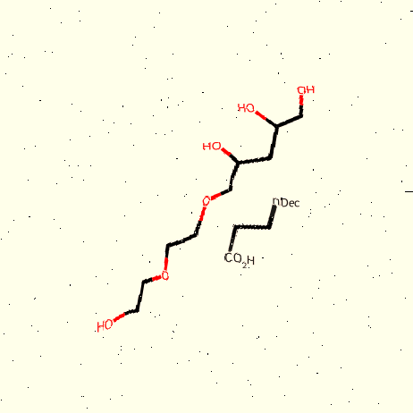 CCCCCCCCCCCCC(=O)O.OCCOCCOCC(O)CC(O)CO